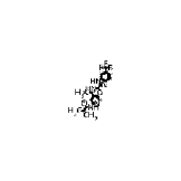 CC(C)C(=O)Nc1cc(C(C)NC(=O)c2nc3ccc(C(F)(F)F)cc3[nH]2)ccn1